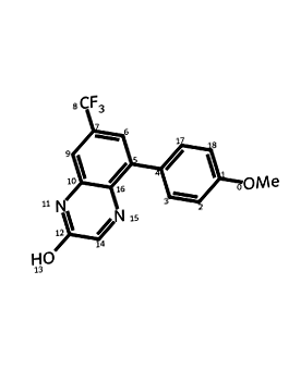 COc1ccc(-c2cc(C(F)(F)F)cc3nc(O)cnc23)cc1